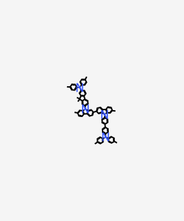 Cc1ccc(N(c2ccc(C)cc2)c2ccc(-c3ccc(-n4c5cc(C)ccc5c5ccc(-c6ccc7c8ccc(C)cc8n(-c8ccc9c(c8)C(C)(C)c8cc(N(c%10ccc(C)cc%10)c%10ccc(C)cc%10)ccc8-9)c7c6)cc54)cc3)cc2)cc1